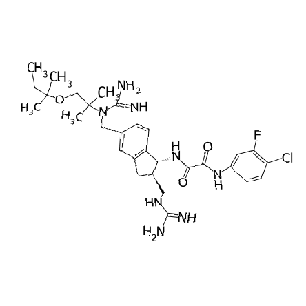 CCC(C)(C)OCC(C)(C)N(Cc1ccc2c(c1)C[C@H](CNC(=N)N)[C@H]2NC(=O)C(=O)Nc1ccc(Cl)c(F)c1)C(=N)N